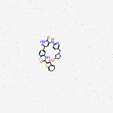 O=C(Nc1cc(-c2cc(Nc3ccc(CN4CCC(O)C4)cn3)c(=O)[nH]n2)ccc1F)c1cc2c(s1)=CCCC=2